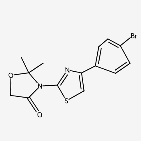 CC1(C)OCC(=O)N1c1nc(-c2ccc(Br)cc2)cs1